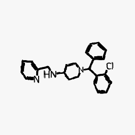 Clc1ccccc1C(c1ccccc1)N1CCC(NCc2ccccn2)CC1